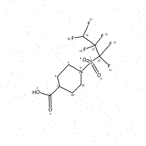 O=C(O)C1CCN(S(=O)(=O)C(F)(F)C(F)(F)C(F)F)CC1